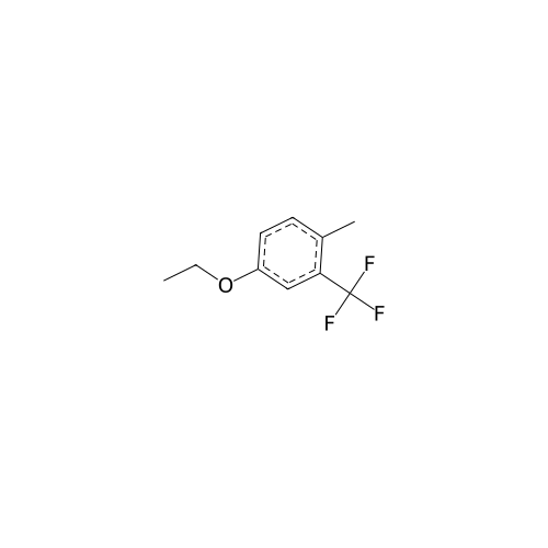 CCOc1ccc(C)c(C(F)(F)F)c1